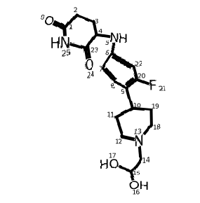 O=C1CCC(Nc2ccc(C3CCN(CC(O)O)CC3)c(F)c2)C(=O)N1